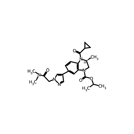 CC(C)OC(=O)N1C[C@H](C)N(C(=O)C2CC2)c2ccc(-c3cnn(CC(=O)N(C)C)c3)cc21